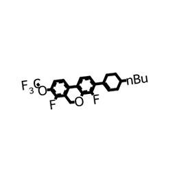 CCCCC1CC=C(c2ccc3c(c2F)OCc2c-3ccc(OC(F)(F)F)c2F)CC1